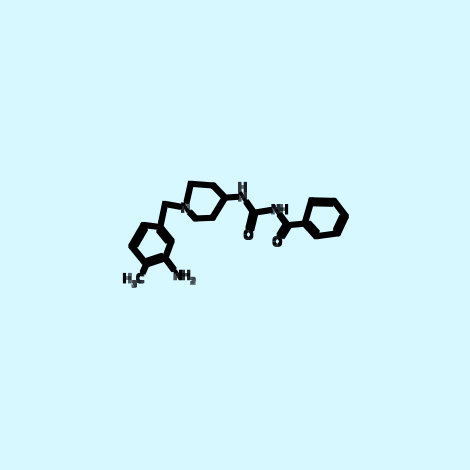 Cc1ccc(CN2CCC(NC(=O)NC(=O)c3ccccc3)CC2)cc1N